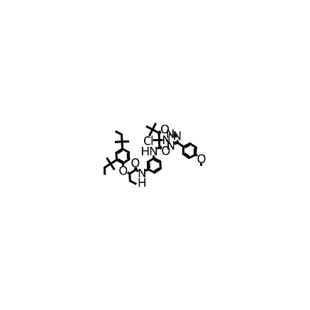 CCC(Oc1ccc(C(C)(C)CC)cc1C(C)(C)CC)C(=O)Nc1cccc(NC(=O)C(Cl)(C(=O)C(C)(C)C)n2nnc(-c3ccc(OC)cc3)n2)c1